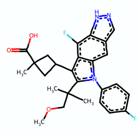 COCC(C)(C)c1c(C2CC(C)(C(=O)O)C2)c2c(F)c3[nH]ncc3cc2n1-c1ccc(F)cc1